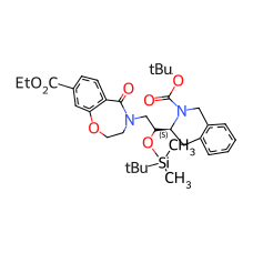 CCOC(=O)c1ccc2c(c1)OCCN(CC(O[Si](C)(C)C(C)(C)C)[C@@H]1Cc3ccccc3CN1C(=O)OC(C)(C)C)C2=O